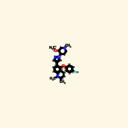 COC1CN(C)CCC1n1cc(-c2ccc3c(c2Oc2ccc(F)cc2)CCC(C)N3C)cn1